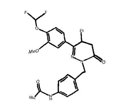 CCC1CC(=O)N(Cc2ccc(NC(=O)C(C)(C)C)cc2)N=C1c1ccc(OC(F)F)c(OC)c1